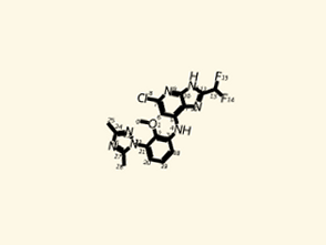 COc1c(Nc2cc(Cl)nc3[nH]c(C(F)F)nc23)cccc1-n1nc(C)nc1C